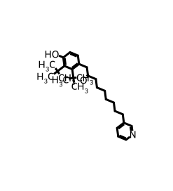 CC(C)(C)c1c(O)ccc(CC(=O)CCCCCCCc2cccnc2)c1C(C)(C)C